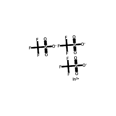 O=S(=O)([O-])C(F)(F)F.O=S(=O)([O-])C(F)(F)F.O=S(=O)([O-])C(F)(F)F.[In+3]